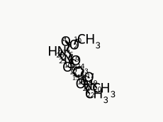 CCOC(=O)C1CN(S(=O)(=O)c2ccc(S(=O)(=O)N(CC)CC)cc2)CCN1